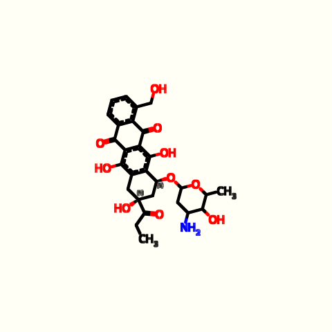 CCC(=O)[C@]1(O)Cc2c(O)c3c(c(O)c2[C@@H](OC2CC(N)C(O)C(C)O2)C1)C(=O)c1c(CO)cccc1C3=O